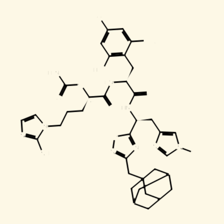 Cc1cc(O)cc(C)c1C[C@H](NC(=O)[C@@H](CCCn1ccnc1N)OC(N)=O)C(=O)N[C@@H](Cc1cn(C)cn1)c1nc(CC23CC4CC(CC(C4)C2)C3)no1